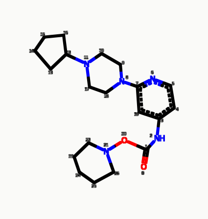 O=C(Nc1ccnc(N2CCN(C3CCCC3)CC2)c1)ON1CCCCC1